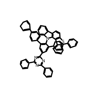 C1=CC(c2ccc(-c3cc(-c4nc(-c5ccccc5)nc(-c5ccccc5)n4)cc(C4C=CC(c5ccccc5)=CC4)c3-n3c4ccccc4c4ccc5sc6ccccc6c5c43)cc2)=CCC1